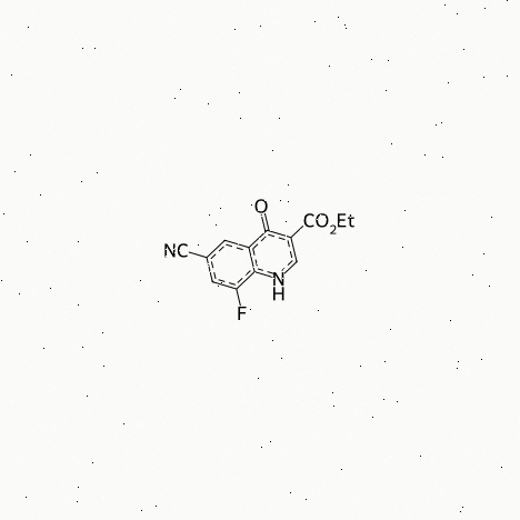 CCOC(=O)c1c[nH]c2c(F)cc(C#N)cc2c1=O